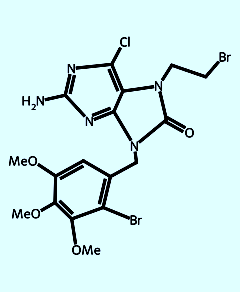 COc1cc(Cn2c(=O)n(CCBr)c3c(Cl)nc(N)nc32)c(Br)c(OC)c1OC